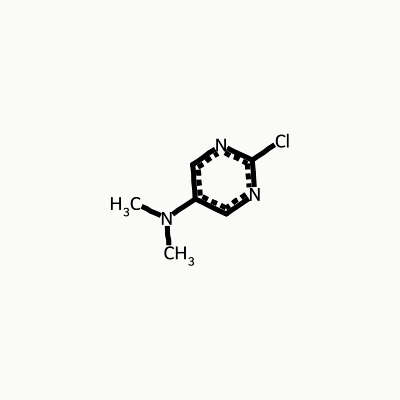 CN(C)c1cnc(Cl)nc1